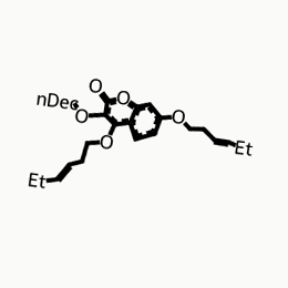 CCC=CCCOc1ccc2c(OCCC=CCC)c(OCCCCCCCCCC)c(=O)oc2c1